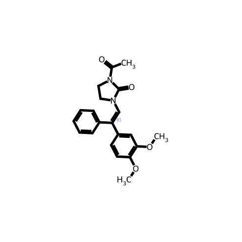 COc1ccc(/C(=C/N2CCN(C(C)=O)C2=O)c2ccccc2)cc1OC